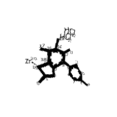 CC1=Cc2c(-c3ccc(C)cc3)c(C)c(C)c(C)c2[C@H]1[Zr].Cl.Cl